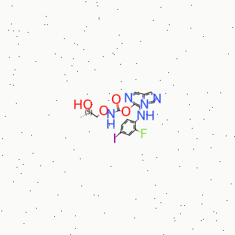 C[C@H](O)CONC(=O)Oc1ncc2cncn2c1Nc1ccc(I)cc1F